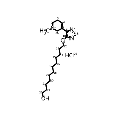 CN1CCC=C(c2nsnc2OCCCCCCCCCCCCO)C1.Cl